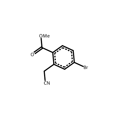 COC(=O)c1ccc(Br)cc1CC#N